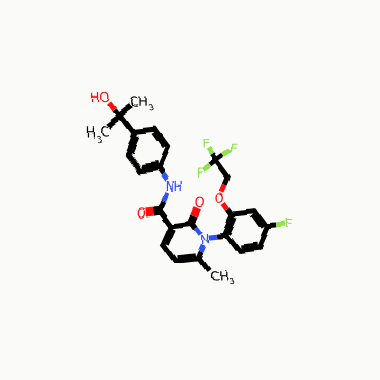 Cc1ccc(C(=O)Nc2ccc(C(C)(C)O)cc2)c(=O)n1-c1ccc(F)cc1OCC(F)(F)F